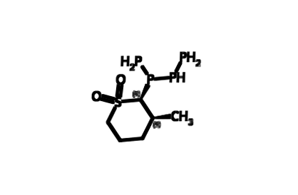 C[C@H]1CCCS(=O)(=O)[C@H]1P(P)PP